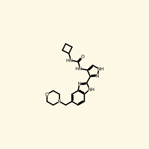 O=C(Nc1c[nH]nc1-c1nc2cc(CN3CCOCC3)ccc2[nH]1)NC1CCC1